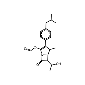 CC(C)Cc1ccc(C2=C(OC=O)N3C(=O)C(C(C)O)C3C2C)cc1